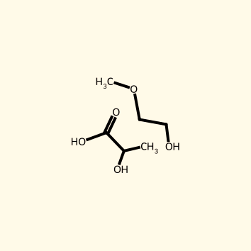 CC(O)C(=O)O.COCCO